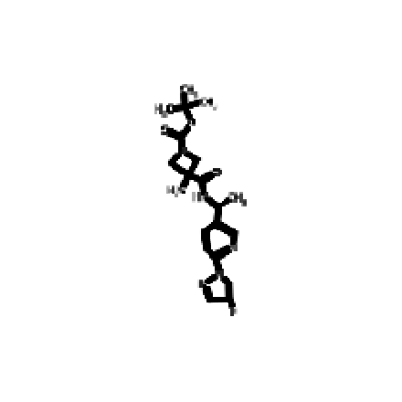 C[C@H](NC(=O)C1(N)CN(C(=O)OC(C)(C)C)C1)c1ccc(-n2cc(F)cn2)nc1